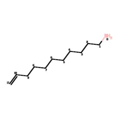 BCCCCCCCCCC=C